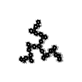 CC1(C)c2ccccc2-c2ccc(-n3c4ccccc4c4ccc(-c5ccc6c7ccccc7n(-c7ccc(-c8cc(-c9ccc(-n%10c%11ccccc%11c%11ccc(-c%12ccc%13c%14ccccc%14n(-c%14ccc%15c(c%14)C(C)(C)c%14ccccc%14-%15)c%13c%12)cc%11%10)cc9)nc(-c9ccc(-n%10c%11ccccc%11c%11ccc(-c%12ccc%13c%14ccccc%14n(-c%14ccc%15c(c%14)C(C)(C)c%14ccccc%14-%15)c%13c%12)cc%11%10)cc9)n8)cc7)c6c5)cc43)cc21